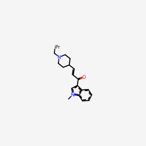 CC(C)CN1CCC(C=CC(=O)c2cn(C)c3ccccc23)CC1